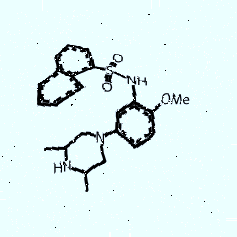 COc1ccc(N2CC(C)NC(C)C2)cc1NS(=O)(=O)c1cccc2ccccc12